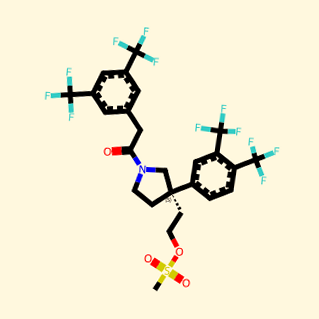 CS(=O)(=O)OCC[C@]1(c2ccc(C(F)(F)F)c(C(F)(F)F)c2)CCN(C(=O)Cc2cc(C(F)(F)F)cc(C(F)(F)F)c2)C1